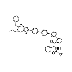 CCCN(Cc1ncc(-c2ccc(-c3ccc(-c4cnc([C@@H]5CCCN5C(=O)[C@@H](NC(=O)C5CC5)C5=CC=CCC5)s4)cc3)cc2)s1)C(=O)Cc1ccccc1